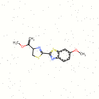 C=C(OC)C1CSC(c2nc3ccc(OC)cc3s2)=N1